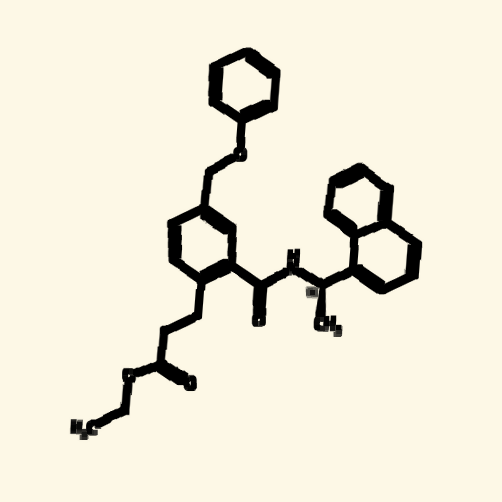 CCOC(=O)CCc1ccc(COc2ccccc2)cc1C(=O)N[C@H](C)c1cccc2ccccc12